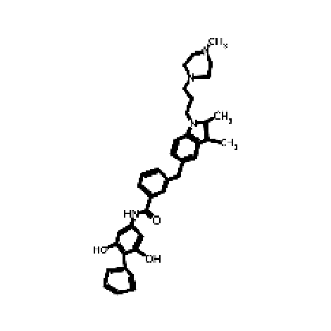 Cc1c(C)n(CCCN2CCN(C)CC2)c2ccc(Cc3cccc(C(=O)Nc4cc(O)c(-c5ccccc5)c(O)c4)c3)cc12